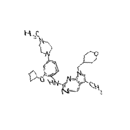 Cc1cn(CC2CCOCC2)c2nc(Nc3ccc(N4CCN(C)CC4)cc3OC3CCC3)ncc12